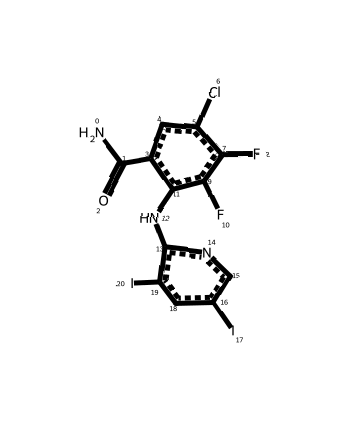 NC(=O)c1cc(Cl)c(F)c(F)c1Nc1ncc(I)cc1I